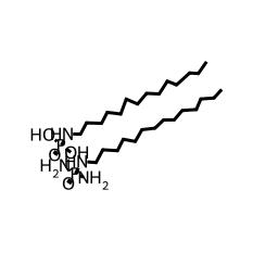 CCCCCCCCCCCCCCNP(=O)(O)O.CCCCCCCCCCCCCCNP(N)(N)=O